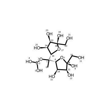 CC(OB(O)O)([C@@H]1O[C@](O)(CO)[C@@H](O)[C@H]1O)[C@H]1O[C@@](O)(CO)[C@H](O)[C@@H]1O